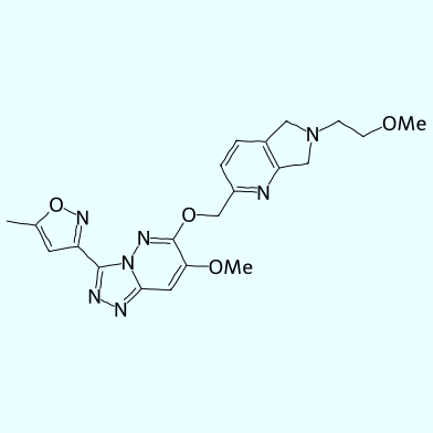 COCCN1Cc2ccc(COc3nn4c(-c5cc(C)on5)nnc4cc3OC)nc2C1